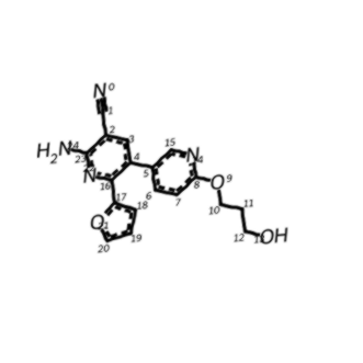 N#Cc1cc(-c2ccc(OCCCO)nc2)c(-c2ccco2)nc1N